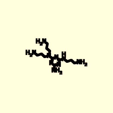 NCCCNc1nc(N)nc(N(CCCN)CCCN)n1